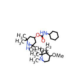 CC1(C)CC(OC(=O)NC2CCCCC2)CC(C)(C)N1.COC1CCN(C)C(C)(C)C1C